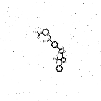 O=C(O)[C@H]1CCCN(C[C@H](O)c2ccc(-c3noc(-c4cnn(-c5ccccc5)c4C(F)(F)F)n3)cc2)C1